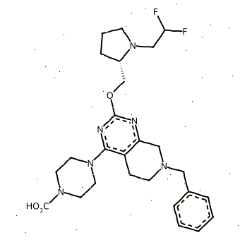 O=C(O)N1CCN(c2nc(OC[C@@H]3CCCN3CC(F)F)nc3c2CCN(Cc2ccccc2)C3)CC1